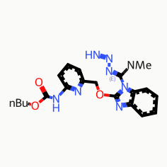 CCCCOC(=O)Nc1cccc(COc2nc3ccccc3n2/C(=N/N=N)NC)n1